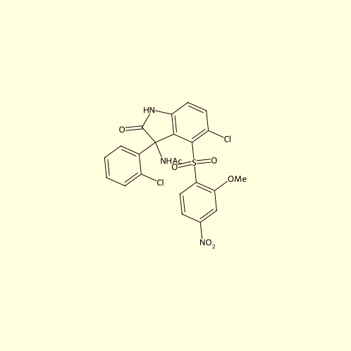 COc1cc([N+](=O)[O-])ccc1S(=O)(=O)c1c(Cl)ccc2c1C(NC(C)=O)(c1ccccc1Cl)C(=O)N2